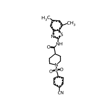 Cc1cc(C)c2sc(NC(=O)C3CCN(S(=O)(=O)c4ccc(C#N)cc4)CC3)nc2c1